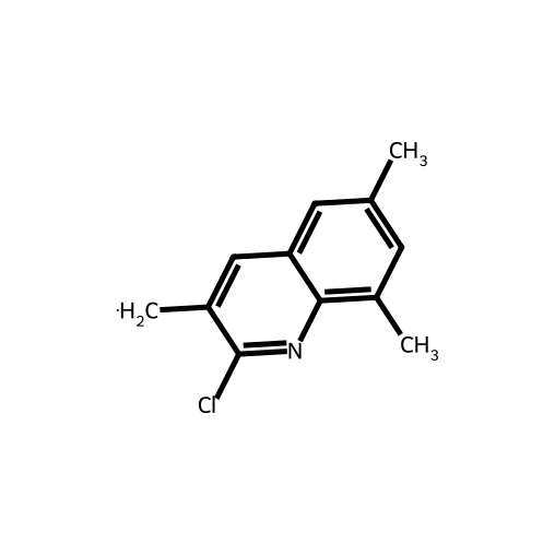 [CH2]c1cc2cc(C)cc(C)c2nc1Cl